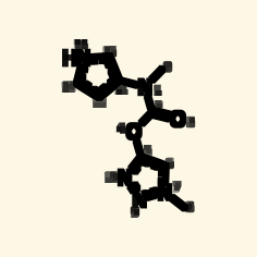 CN(C(=O)Oc1cn(C)nn1)c1cc[nH]c1